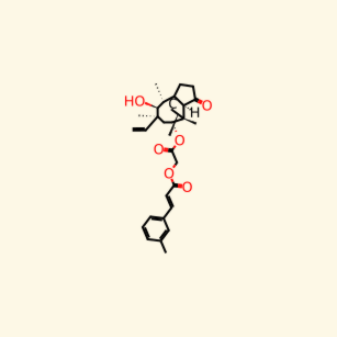 C=C[C@]1(C)C[C@@H](OC(=O)COC(=O)/C=C/c2cccc(C)c2)[C@]2(C)[C@H](C)CC[C@]3(CCC(=O)[C@H]32)[C@@H](C)[C@@H]1O